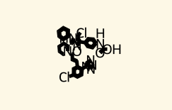 O=C(O)Nc1ccc(-c2nc([C@H]3[C@@H](c4ccccc4)CCCN3C(=O)/C=C/c3cc(Cl)ccc3-n3cnnn3)[nH]c2Cl)cc1